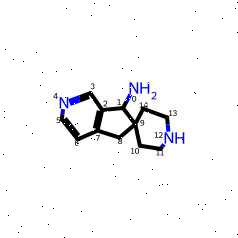 NC1c2cnccc2CC12CCNCC2